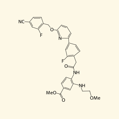 COCCNc1cc(C(=O)OC)ccc1NC(=O)Cc1ccc(-c2cccc(OCc3ccc(C#N)cc3F)n2)cc1F